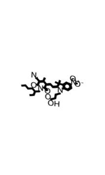 CCCCC(CC)CN1C(=O)C(C#N)=C(C)/C(=C/C=C2/N(CCCC(=O)O)c3ccc([N+](=O)[O-])cc3C2(C)C)C1=O